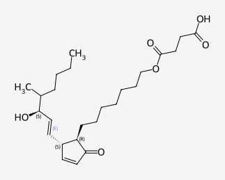 CCCCC(C)[C@H](O)/C=C/[C@H]1C=CC(=O)[C@@H]1CCCCCCCOC(=O)CCC(=O)O